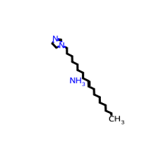 CCCCCCCCC=CCCCCCCCCN1C=NCC1.N